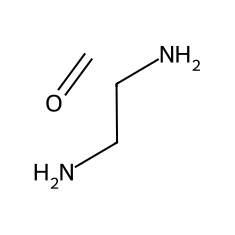 C=O.NCCN